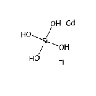 O[Si](O)(O)O.[Gd].[Ti]